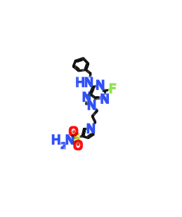 NS(=O)(=O)c1ccn(CCCn2cnc3c(NCc4ccccc4)nc(F)nc32)c1